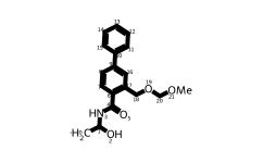 [CH2]C(O)NC(=O)c1ccc(-c2ccccc2)cc1COCOC